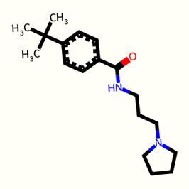 CC(C)(C)c1ccc(C(=O)NCCCN2CCCC2)cc1